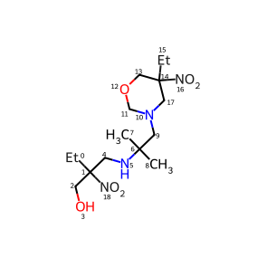 CCC(CO)(CNC(C)(C)CN1COCC(CC)([N+](=O)[O-])C1)[N+](=O)[O-]